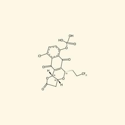 O=C1C[C@H]2O[C@@H](CCC(F)(F)F)C3=C(C(=O)c4c(Cl)ccc(OP(=O)(O)O)c4C3=O)[C@H]2O1